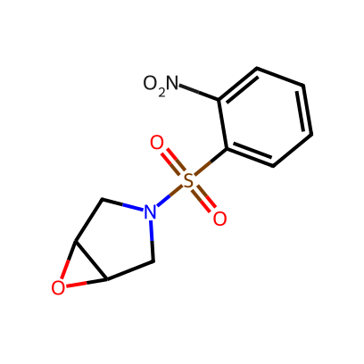 O=[N+]([O-])c1ccccc1S(=O)(=O)N1CC2OC2C1